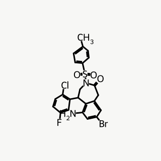 Cc1ccc(S(=O)(=O)N2CC(c3cc(F)ccc3Cl)c3c(N)cc(Br)cc3CC2=O)cc1